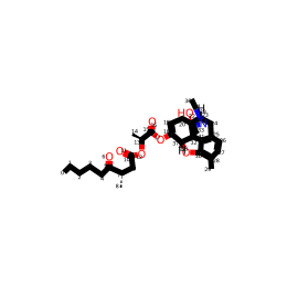 CCCCCC(=O)[C@@H](C)CC(=O)O[C@@H](C)C(=O)OC1=CC[C@@]2(O)[C@H]3Cc4ccc(C)c5c4[C@@]2(CCN3C)[C@H]1O5